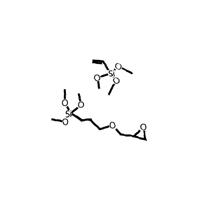 C=C[Si](OC)(OC)OC.CO[Si](CCCOCC1CO1)(OC)OC